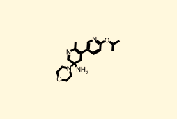 CC1=C(c2ccc(OC(C)C)nc2)CC(N)(N2CCOCC2)C=N1